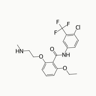 CCOc1cccc(OCCNC)c1C(=O)Nc1ccc(Cl)c(C(F)(F)F)c1